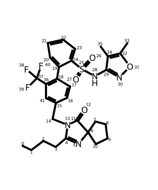 CCCCC1=NC2(CCCC2)C(=O)N1Cc1ccc(-c2ccccc2S(=O)(=O)Nc2noc(C)c2C)c(C(F)(F)F)c1